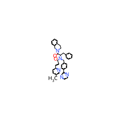 Cc1ccc(C=CC(=O)N(Cc2ccc(-c3cnccn3)cc2)C(Cc2ccccc2)C(=O)N2CCc3ccccc3C2)nc1